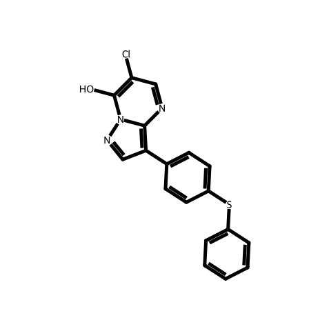 Oc1c(Cl)cnc2c(-c3ccc(Sc4ccccc4)cc3)cnn12